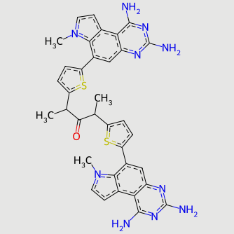 CC(C(=O)C(C)c1ccc(-c2cc3nc(N)nc(N)c3c3ccn(C)c23)s1)c1ccc(-c2cc3nc(N)nc(N)c3c3ccn(C)c23)s1